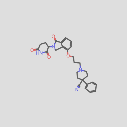 N#CC1(c2ccccc2)CCN(CCCOc2cccc3c2CN(C2CCC(=O)NC2=O)C3=O)CC1